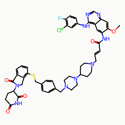 COc1cc2ncnc(Nc3ccc(F)c(Cl)c3)c2cc1NC(=O)/C=C/CN1CCC(N2CCN(Cc3ccc(CSc4cccc5c4CN(C4CCC(=O)NC4=O)C5=O)cc3)CC2)CC1